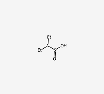 CCN(CC)S(=O)O